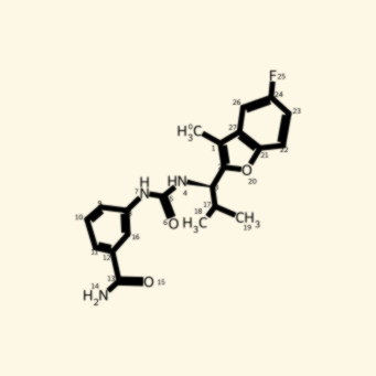 Cc1c([C@H](NC(=O)Nc2cccc(C(N)=O)c2)C(C)C)oc2ccc(F)cc12